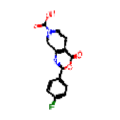 O=C(O)N1CCc2c(nc(-c3ccc(F)cc3)oc2=O)C1